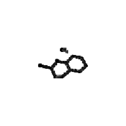 C.O=c1ccc2ccccc2o1